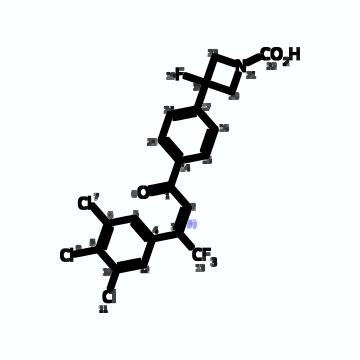 O=C(/C=C(\c1cc(Cl)c(Cl)c(Cl)c1)C(F)(F)F)c1ccc(C2(F)CN(C(=O)O)C2)cc1